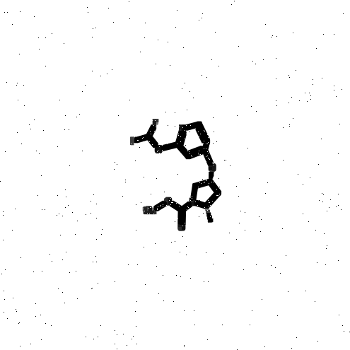 C[C@H]1C[C@@H](Oc2ccnc(OC(F)F)c2)CN1C(=O)OC(C)(C)C